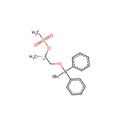 C[C@@H](CO[Si](c1ccccc1)(c1ccccc1)C(C)(C)C)OS(C)(=O)=O